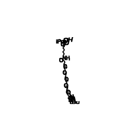 CC(C)P(=O)(O)OCCCCCCNC(=O)CCOCCOCCOCCOCCOCc1cn(C(C)(C)C)nn1